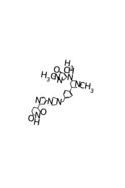 Cc1c(N[C@@H]2C[C@H](c3ccc(CN4CCN(c5ccnc(C6CCC(=O)NC6=O)c5)CC4)cc3)CN(C)C2)cnn(C)c1=O